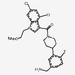 COCCn1cc(C(=O)N2CCC(c3cc(CN)ccc3F)CC2)c2c(Cl)cc(Cl)cc21